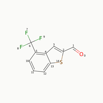 O=Cc1cc2c(C(F)(F)F)cccc2s1